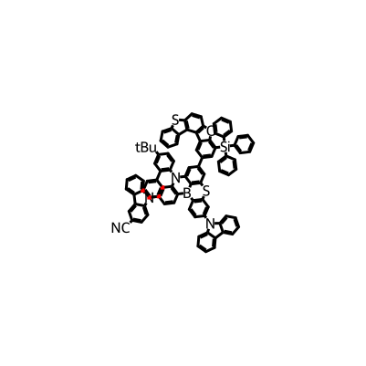 CC(C)(C)c1ccc(N2c3cc(-n4c5ccccc5c5cc(C#N)ccc54)ccc3B3c4ccc(-n5c6ccccc6c6ccccc65)cc4Sc4cc(-c5cc([Si](c6ccccc6)(c6ccccc6)c6ccccc6)c6oc7ccc8sc9ccccc9c8c7c6c5)cc2c43)c(-c2ccccc2)c1